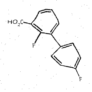 O=C(O)c1cccc(-c2ccc(F)cc2)c1F